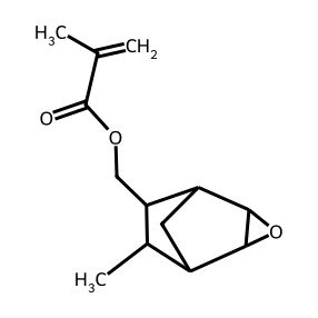 C=C(C)C(=O)OCC1C(C)C2CC1C1OC21